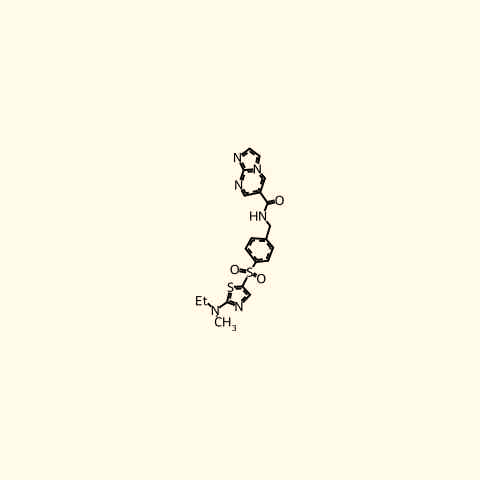 CCN(C)c1ncc(S(=O)(=O)c2ccc(CNC(=O)c3cnc4nccn4c3)cc2)s1